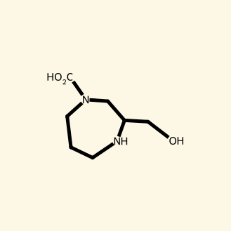 O=C(O)N1CCCNC(CO)C1